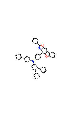 c1ccc(-c2ccc(N(c3ccc(-c4c5nc(-c6ccccc6)oc5cc5c4oc4ccccc45)cc3)c3ccc(-c4ccccc4)c(-c4ccccc4)c3)cc2)cc1